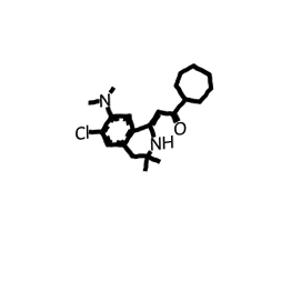 CN(C)c1cc2c(cc1Cl)CC(C)(C)NC2=CC(=O)C1CCCCCC1